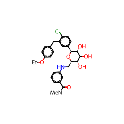 CCOc1ccc(Cc2cc([C@@H]3O[C@H](CNc4cccc(C(=O)NC)c4)[C@@H](O)C(O)[C@H]3O)ccc2Cl)cc1